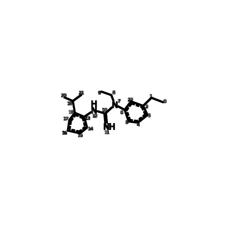 CCc1cccc(N(CC)C(=N)Nc2ccccc2C(C)C)c1